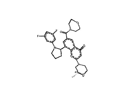 C[C@@H]1CN(c2cc(=O)c3cc(C(=O)N4CCOCC4)cc(C4CCCN4c4cc(F)cc(F)c4)c3o2)CCO1